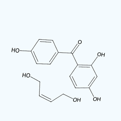 O=C(c1ccc(O)cc1)c1ccc(O)cc1O.OC/C=C\CO